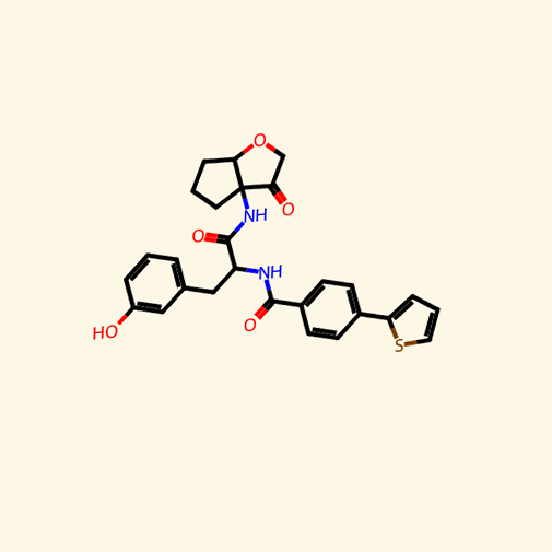 O=C(NC(Cc1cccc(O)c1)C(=O)NC12CCCC1OCC2=O)c1ccc(-c2cccs2)cc1